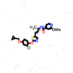 COc1cc(C(=O)N[C@@H](C)/C=C/c2cnc(Oc3ccc(OCC4CC4)cc3Cl)s2)ccn1